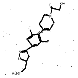 CC(=O)NCC1CC(c2cc(F)c(C3=CCN(C(=O)CO)CC3)c(F)c2)=NO1